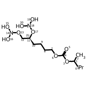 CC(C)C(C)OC(=O)OCCCC[C@@H](CON(O)O)ON(O)O